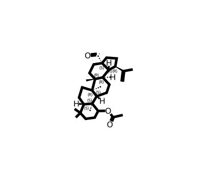 C=C(C)[C@@H]1CC[C@]2([C]=O)CC[C@]3(C)[C@H](CC[C@@H]4[C@@]5(C)C(OC(C)=O)CCC(C)(C)[C@@H]5CC[C@]43C)[C@@H]12